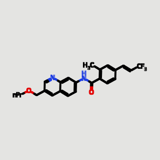 CCCOCc1cnc2cc(NC(=O)c3ccc(/C=C/C(F)(F)F)cc3C)ccc2c1